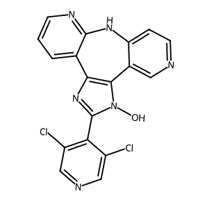 On1c(-c2c(Cl)cncc2Cl)nc2c1-c1cnccc1Nc1ncccc1-2